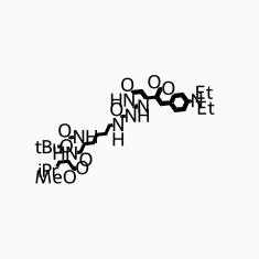 CCN(CC)c1ccc2cc(-c3cc(=O)[nH]c(NC(=O)NCCCCC(NC(=O)OC(C)(C)C)C(=O)NC(CC(C)C)C(=O)OC)n3)c(=O)oc2c1